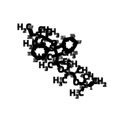 C=C[Si](C)(C)O[C@@H](C)[Si](C)(C)OC(C)(CC)C(C)(C)[Si](OC(C)(C)[Si](C)(C)C=C)(c1ccccc1)c1ccccc1